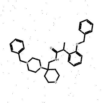 CC(C(=O)NCC1(N2CCN(Cc3ccccc3)CC2)CCOCC1)c1ccccc1OCc1ccccc1